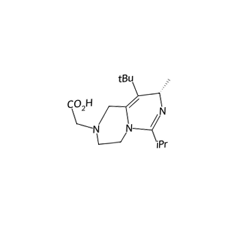 CC(C)C1=N[C@@H](C)C(C(C)(C)C)=C2CN(CC(=O)O)CCN12